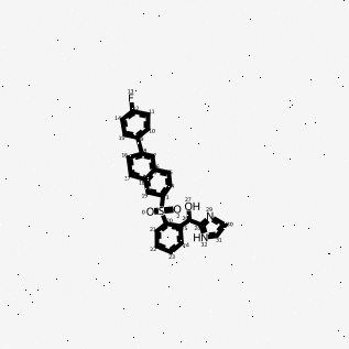 O=S(=O)(c1ccc2cc(-c3ccc(F)cc3)ccc2c1)c1ccccc1C(O)c1ncc[nH]1